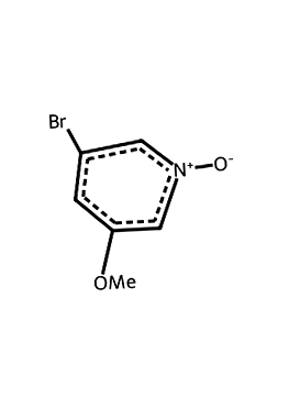 COc1cc(Br)c[n+]([O-])c1